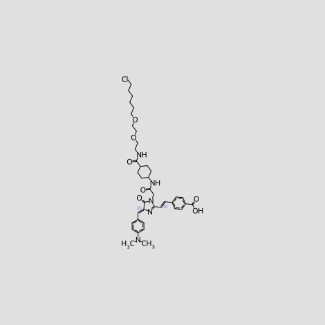 CN(C)c1ccc(/C=C2N=C(/C=C/c3ccc(C(=O)O)cc3)N(CC(=O)NC3CCC(C(=O)NCCOCCOCCCCCCCl)CC3)C\2=O)cc1